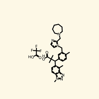 Cc1ccc(C(c2ccc3c(nnn3C)c2C)C(C)(C)C(=O)O)cc1Cn1ccnc1CN1CCCCCC1.O=C(O)C(F)(F)F